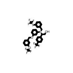 OCC(c1ccc(C(F)(F)F)cc1)N(Cc1cccc(SC(F)(F)F)c1)c1cccc(OCc2cccc(OC(F)(F)F)c2)c1